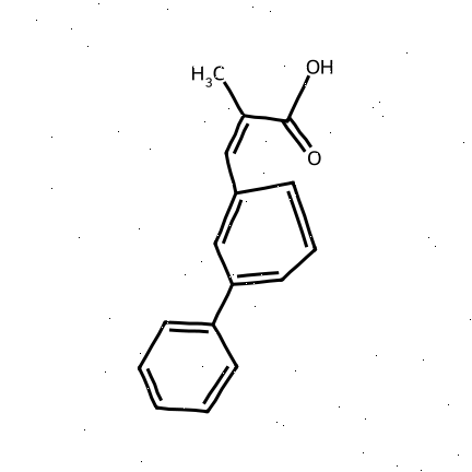 CC(=Cc1cccc(-c2ccccc2)c1)C(=O)O